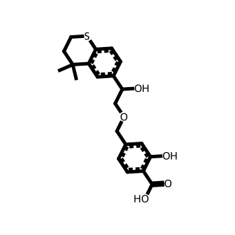 CC1(C)CCSc2ccc(C(O)COCc3ccc(C(=O)O)c(O)c3)cc21